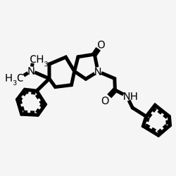 CN(C)C1(c2ccccc2)CCC2(CC1)CC(=O)N(CC(=O)NCc1ccccc1)C2